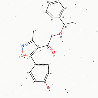 Cc1noc(-c2ccc(Br)cc2)c1C(=O)COC(C)c1ccccc1